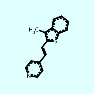 Cc1c(C=Cc2ccncc2)sc2ccccc12